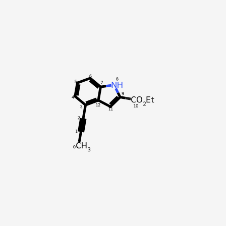 CC#Cc1cccc2[nH]c(C(=O)OCC)cc12